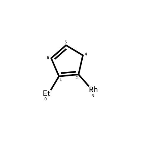 CCC1=[C]([Rh])CC=C1